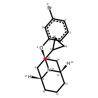 Brc1cccc(O[C@@H]2C[C@H]3CCC[C@@H](C2)N3CC2CC2)c1